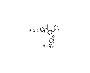 CCOC(=O)c1ccc(Nc2ccc(Oc3ccc([S+](C)[O-])nc3)c(CN3CCCC3=O)c2)nc1